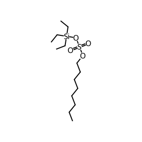 CCCCCCCCOS(=O)(=O)O[Si](CC)(CC)CC